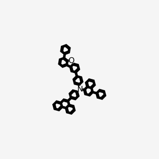 c1ccc(-c2ccc(N(c3ccc(-c4ccc5oc6c(-c7ccccc7)cccc6c5c4)cc3)c3ccc(-c4cc5ccccc5c5ccccc45)cc3)c3ccccc23)cc1